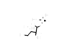 C[C@@](O)(C(O)OP(=O)(O)O)[C@@H](O)CO